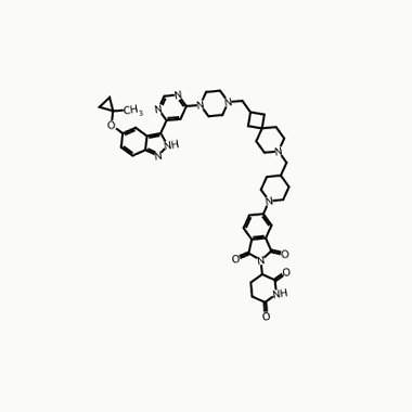 CC1(Oc2ccc3n[nH]c(-c4cc(N5CCN(CC6CC7(CCN(CC8CCN(c9ccc%10c(c9)C(=O)N(C9CCC(=O)NC9=O)C%10=O)CC8)CC7)C6)CC5)ncn4)c3c2)CC1